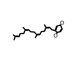 CC(C)=CCCC(C)=CCCC(C)=CCCC(C)=CCC1=CC(=O)C=CC1=O